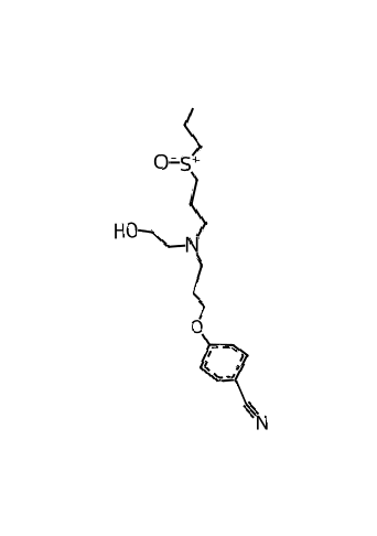 CCC[S+]([O-])CCCN(CCO)CCCOc1ccc(C#N)cc1